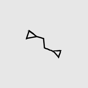 [CH]1CC1CCC1CC1